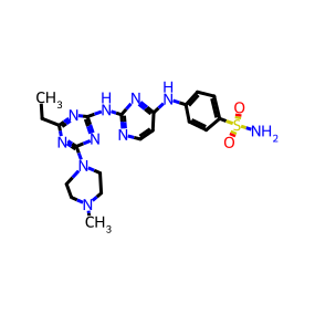 CCc1nc(Nc2nccc(Nc3ccc(S(N)(=O)=O)cc3)n2)nc(N2CCN(C)CC2)n1